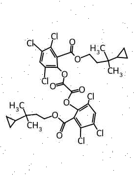 CC(C)(CCOC(=O)c1c(Cl)c(Cl)cc(Cl)c1OC(=O)C(=O)Oc1c(Cl)cc(Cl)c(Cl)c1C(=O)OCCC(C)(C)C1CC1)C1CC1